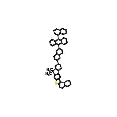 CC1(C)c2cc(-c3ccc4cc(-c5c6ccccc6c(-c6cccc7ccccc67)c6ccccc56)ccc4c3)ccc2-c2cc3c(cc21)sc1ccc2ccccc2c13